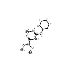 CCSN(SCC)C(=O)NC(=NC(C)C)OC1CCCCC1